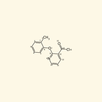 Cc1ccccc1Oc1ncccc1C(=O)Cl